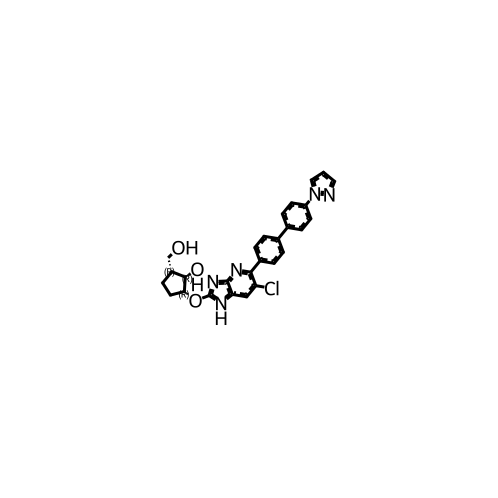 OC[C@H]1CC[C@@H](Oc2nc3nc(-c4ccc(-c5ccc(-n6cccn6)cc5)cc4)c(Cl)cc3[nH]2)[C@@H]1O